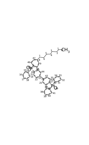 CCCCCCCCc1ccc(P(=O)(c2ccccc2)c2ccc(-c3ccc(P(=O)(c4ccccc4)c4ccccc4)cc3)cc2)cc1